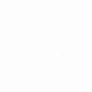 CN1C[C@H]2CC[C@@H]1CN2CC(N)=O